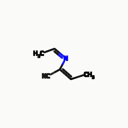 C/C=N\C(C#N)=C/C